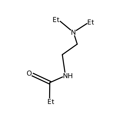 CCC(=O)NCCN(CC)CC